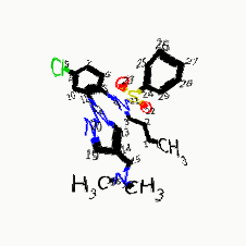 CCCCN(c1ccc(Cl)cc1-n1cc(CN(C)C)cn1)S(=O)(=O)c1ccccc1